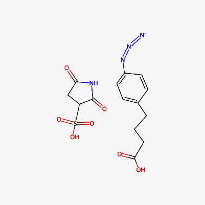 O=C1CC(S(=O)(=O)O)C(=O)N1.[N-]=[N+]=Nc1ccc(CCCC(=O)O)cc1